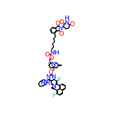 C#Cc1c(F)ccc2cccc(-c3ncc4c(N5CC6CCC(C5)N6)nc(OC[C@@]56CC[C@@H](COC(=O)NCCCCCCc7cccc8c7C(=O)N(C7CCC(=O)NC7=O)C8=O)N5CC(=C)C6)nc4c3F)c12